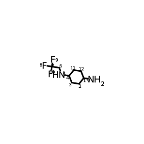 NC1CCC(NCC(F)(F)F)CC1